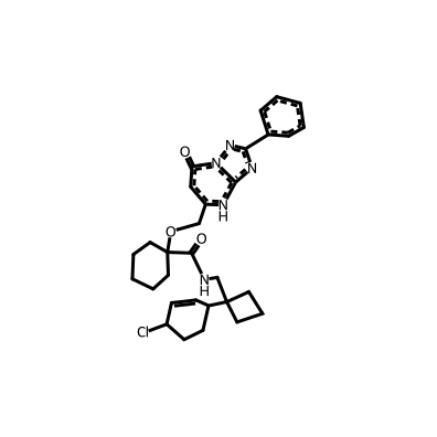 O=C(NCC1(C2C=CC(Cl)CC2)CCC1)C1(OCc2cc(=O)n3nc(-c4ccccc4)nc3[nH]2)CCCCC1